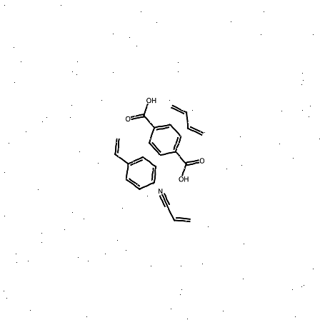 C=CC#N.C=CC=C.C=Cc1ccccc1.O=C(O)c1ccc(C(=O)O)cc1